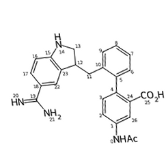 CC(=O)Nc1ccc(-c2ccccc2CC2CNc3ccc(C(=N)N)cc32)c(C(=O)O)c1